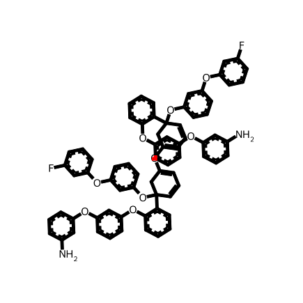 Nc1cccc(Oc2cccc(Oc3ccccc3C3(Oc4cccc(Oc5cccc(F)c5)c4)C=CC=C(OC4=CC=CC(Oc5cccc(Oc6cccc(F)c6)c5)(c5ccccc5Oc5cccc(Oc6cccc(N)c6)c5)C4)C3)c2)c1